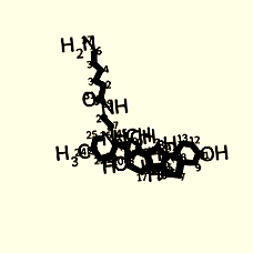 CC1=C2C[C@H]3[C@@H](CC=C4CC(O)CC[C@@]43C)[C@@H]2CC[C@]12O[C@@H]1C[C@H](C)CN(CCNC(=O)CCCCCN)[C@H]1[C@H]2C